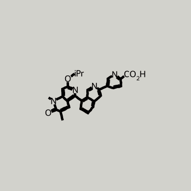 Cc1cc2c(-c3cccc4cc(-c5ccc(C(=O)O)nc5)ncc34)nc(OC(C)C)cc2n(C)c1=O